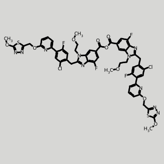 COCCn1c(Cc2cc(F)c(-c3cccc(OCc4nnc(OC)s4)n3)cc2Cl)nc2c(F)cc(C(=O)OC(=O)c3cc(F)c4nc(Cc5cc(F)c(-c6cccc(OCc7nnc(OC)s7)n6)cc5Cl)n(CCOC)c4c3)cc21